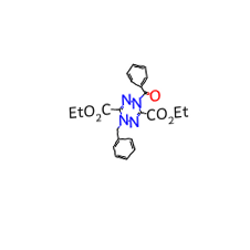 CCOC(=O)C1=NN(C(=O)c2ccccc2)C(C(=O)OCC)=NN1Cc1ccccc1